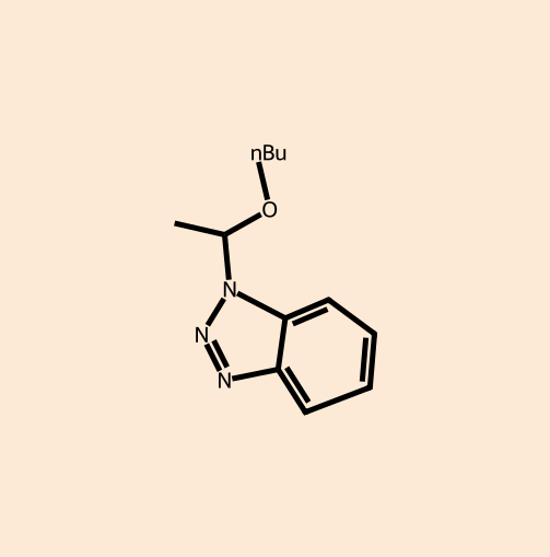 CCCCOC(C)n1nnc2ccccc21